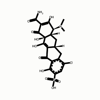 CN(C)[C@@H]1C(O)=C(C(N)=O)C(=O)[C@@]2(O)C(O)=C3C(=O)c4c(O)c(S(=O)(=O)O)cc(Cl)c4C[C@H]3C[C@@H]12